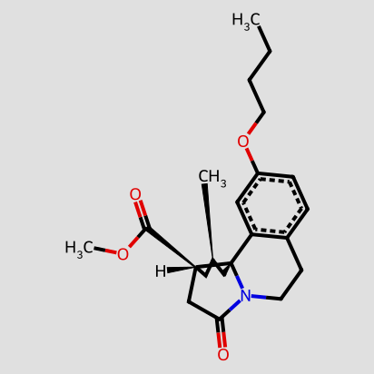 CCCCOc1ccc2c(c1)[C@@]13C[C@H](C)[C@@H](C(=O)OC)[C@@H]1CC(=O)N3CC2